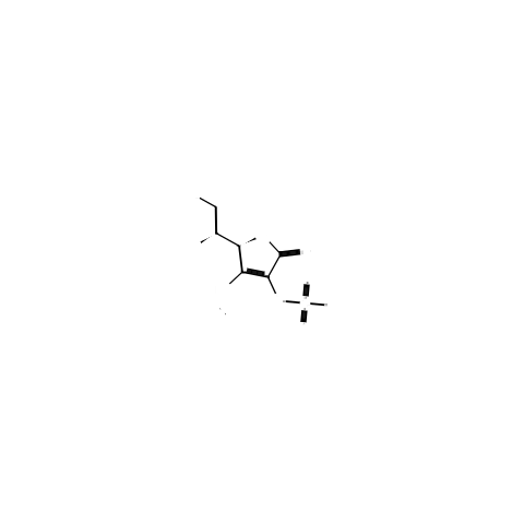 N.O=C1O[C@H]([C@@H](O)CO)C(O)=C1OS(=O)(=O)O